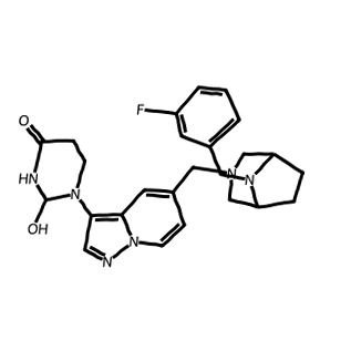 O=C1CCN(c2cnn3ccc(CN4CC5CCC(C4)N5Cc4cccc(F)c4)cc23)C(O)N1